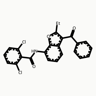 CCc1oc2c(NC(=O)c3c(Cl)cccc3Cl)cccc2c1C(=O)c1ccccc1